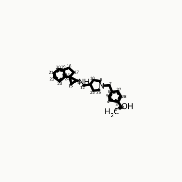 C=C(O)c1ccc(CN2CCC(CNC3CC34CCc3ccccc34)CC2)cc1